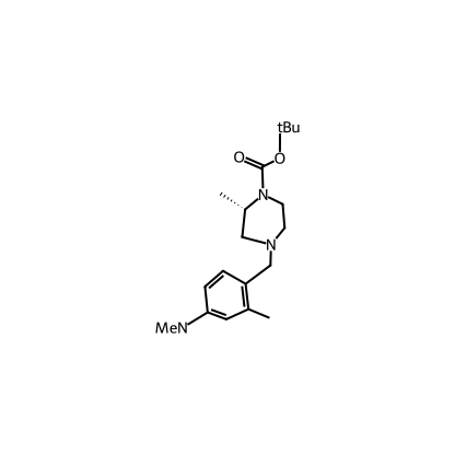 CNc1ccc(CN2CCN(C(=O)OC(C)(C)C)[C@@H](C)C2)c(C)c1